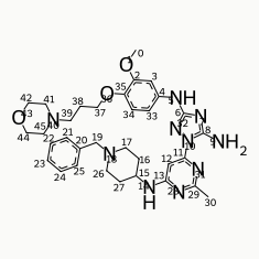 COc1cc(Nc2nc(N)n(-c3cc(NC4CCN(Cc5ccccc5)CC4)nc(C)n3)n2)ccc1OCCCN1CCOCC1